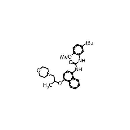 COc1ccc(C(C)(C)C)cc1NC(=O)Nc1ccc(OC(C)CN2CCOCC2)c2ccccc12